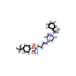 CC(C)(C)c1ccc(S(=O)(=O)NCCCCN2CCN(c3nsc4ccccc34)CC2)cc1